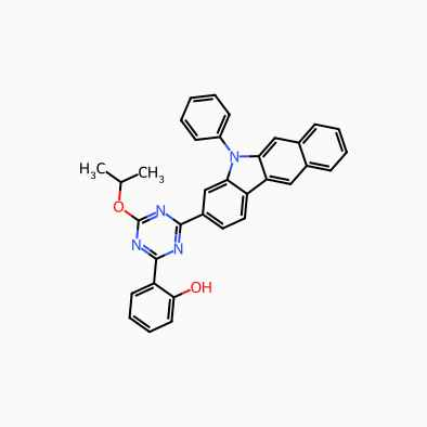 CC(C)Oc1nc(-c2ccc3c4cc5ccccc5cc4n(-c4ccccc4)c3c2)nc(-c2ccccc2O)n1